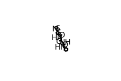 O=C(CNC(=O)c1ccc(C2=NCCS2)s1)NCC(=O)Nc1ccccc1